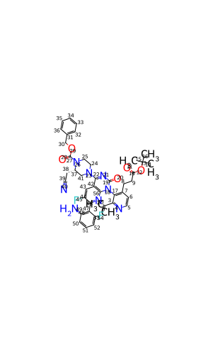 CC(C)c1nccc(CCC(=O)OC(C)(C)C)c1-n1c(=O)nc(N2CCN(C(=O)OCc3ccccc3)[C@@H](CC#N)C2)c2cc(F)c(-c3c(N)cccc3F)nc21